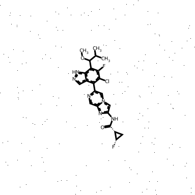 COC(c1c(F)c(Cl)c(-c2cn3cc(NC(=O)[C@@H]4C[C@@H]4F)nc3cn2)c2cn[nH]c12)C(C)C